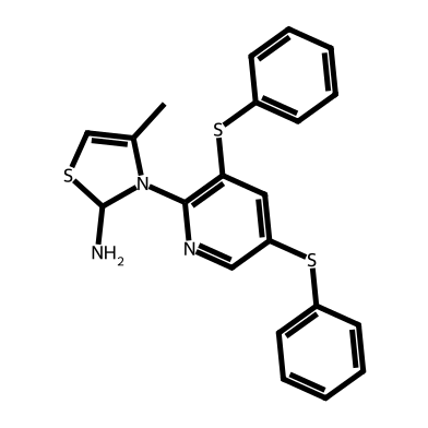 CC1=CSC(N)N1c1ncc(Sc2ccccc2)cc1Sc1ccccc1